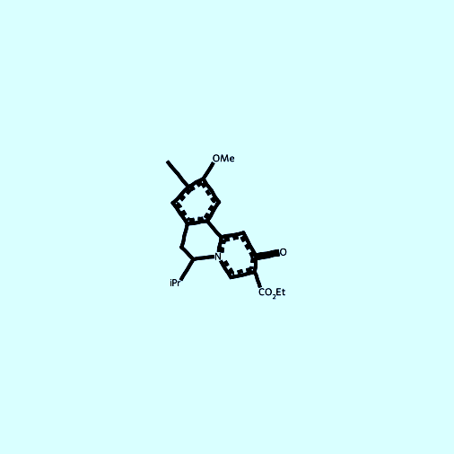 CCOC(=O)c1cn2c(cc1=O)-c1cc(OC)c(C)cc1CC2C(C)C